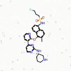 Cc1ccc2c(NS(=O)(=O)CCCF)cccc2c1Oc1ncccc1-c1ccnc(N[C@H]2CCCNC2)n1